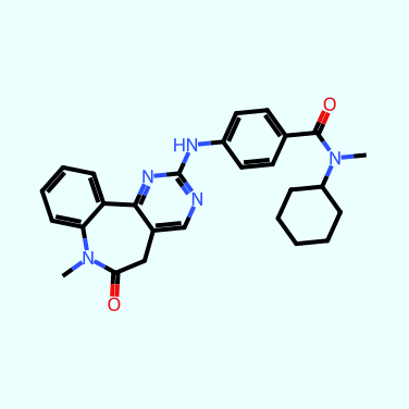 CN1C(=O)Cc2cnc(Nc3ccc(C(=O)N(C)C4CCCCC4)cc3)nc2-c2ccccc21